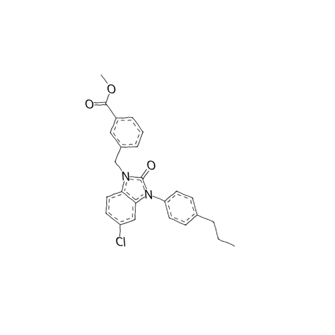 CCCc1ccc(-n2c(=O)n(Cc3cccc(C(=O)OC)c3)c3ccc(Cl)cc32)cc1